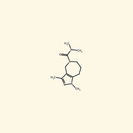 Cc1nn(C)c2c1CN(C(=O)N(C)C)CCC2